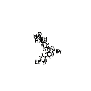 CCc1ccc(-c2ccc3c(C(C)C)cn(-c4ccc(NN[SH](=O)=O)cc4)c3c2)cc1